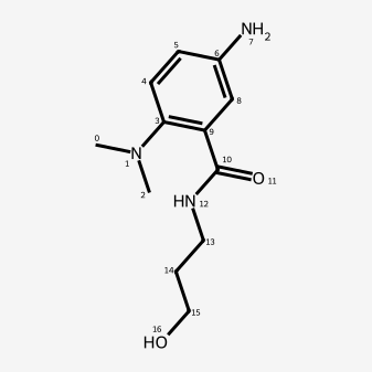 CN(C)c1ccc(N)cc1C(=O)NCCCO